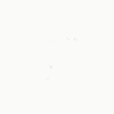 CCC(=O)Nc1cccc(OC(=O)NC(C)C)c1